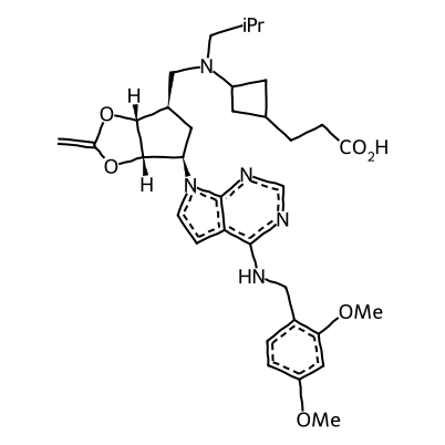 C=C1O[C@@H]2[C@@H](CN(CC(C)C)C3CC(CCC(=O)O)C3)C[C@@H](n3ccc4c(NCc5ccc(OC)cc5OC)ncnc43)[C@@H]2O1